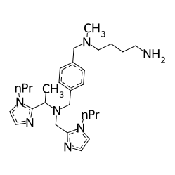 CCCn1ccnc1CN(Cc1ccc(CN(C)CCCCN)cc1)C(C)c1nccn1CCC